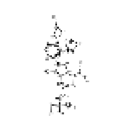 Cn1cnnc1[C@]1(c2cccc(N3Cc4c(cc(CNC5(C)CCC5)cc4C(F)F)C3=O)c2)C[C@@H](Cl)C1